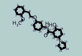 COc1ccccc1CCOc1cccc(NC(=O)c2cc(-n3cccc3)ccc2O)c1